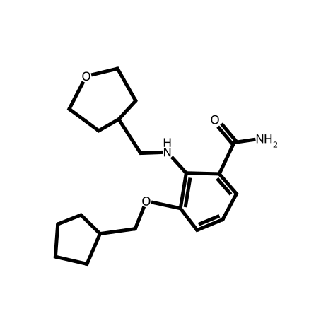 NC(=O)c1cccc(OCC2CCCC2)c1NCC1CCOCC1